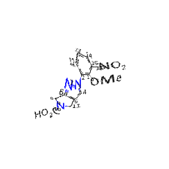 COc1c(-n2cc3c(n2)CN(C(=O)O)C3)cccc1[N+](=O)[O-]